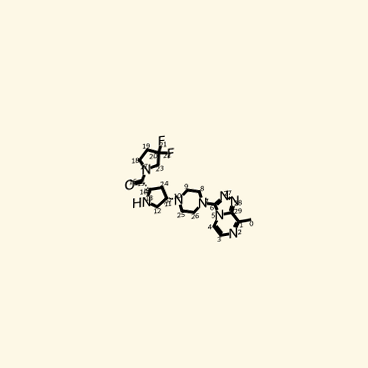 Cc1nccn2c(N3CCN([C@@H]4CN[C@H](C(=O)N5CCC(F)(F)C5)C4)CC3)nnc12